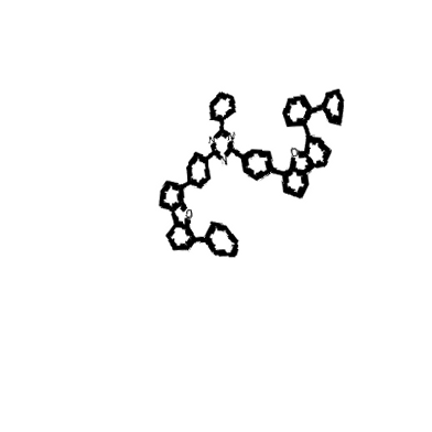 c1ccc(-c2nc(-c3ccc(-c4cccc5c4oc4c(-c6ccccc6)cccc45)cc3)nc(-c3ccc(-c4cccc5c4oc4c(-c6ccccc6-c6ccccc6)cccc45)cc3)n2)cc1